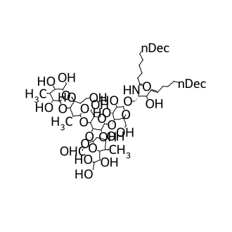 CCCCCCCCCCCCC/C=C/[C@@H](O)[C@H](CO[C@@H]1OC(CO)[C@H](O[C@@H]2OC(CO)[C@H](O[C@@H]3OC(CO)[C@H](O)[C@H](O[C@@H]4OC(CO)[C@H](O)[C@H](C)C4O)C3C)[C@H](O[C@]3(OC=O)C[C@@H](O)[C@@H](C)C([C@H](O)[C@H](O)CO)O3)C2O)[C@H](O)C1O)NC(=O)CCCCCCCCCCCCCCC